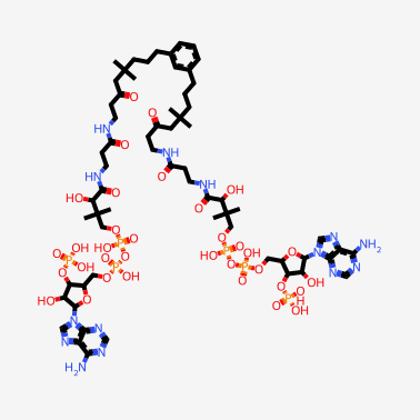 CC(C)(CCCc1cccc(CCCC(C)(C)CC(=O)CCNC(=O)CCNC(=O)C(O)C(C)(C)COP(=O)(O)OP(=O)(O)OCC2OC(n3cnc4c(N)ncnc43)C(O)C2OP(=O)(O)O)c1)CC(=O)CCNC(=O)CCNC(=O)C(O)C(C)(C)COP(=O)(O)OP(=O)(O)OCC1OC(n2cnc3c(N)ncnc32)C(O)C1OP(=O)(O)O